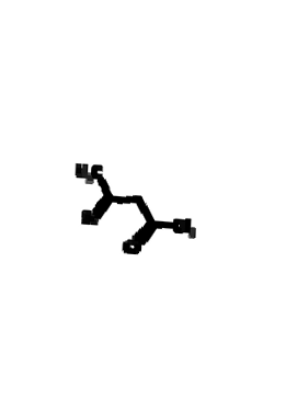 CC(=O)CC(C)=[Se]